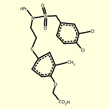 CCCN(CCSc1ccc(OCC(=O)O)c(C)c1)S(=O)(=O)Cc1ccc(Cl)c(Cl)c1